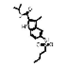 CCCCS(=O)(=O)Nc1ccc2[nH]c(C(=O)OC(C)C)c(C)c2c1